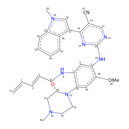 C=C/C=C/C(=O)Nc1cc(Nc2ncc(C#N)c(-c3cn(C)c4ccccc34)n2)c(OC)cc1N1CCN(C)CC1